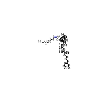 O=C(O)CCC/C=C\C[C@H]1[C@@H](CNC(=O)CNC(=O)CCCCc2ccccc2)[C@@H]2O[C@H]1[C@@H]1O[C@@H]12